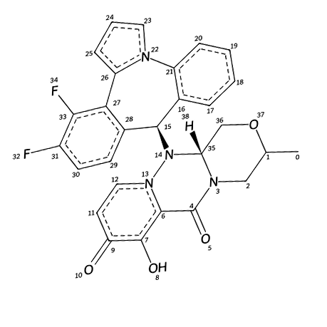 CC1CN2C(=O)c3c(O)c(=O)ccn3N([C@@H]3c4ccccc4-n4cccc4-c4c3ccc(F)c4F)[C@@H]2CO1